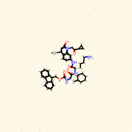 Cc1cc(=O)n(CC(=O)C2CC2)c2cc(NC(=O)[C@H](CCCCN)NC(=O)[C@H](CC3CCCCC3)NC(=O)OCC3c4ccccc4-c4ccccc43)ccc12